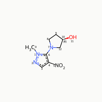 Cn1ncc([N+](=O)[O-])c1N1CC[C@@H](O)C1